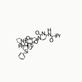 CC[C@H]1O[C@@H](n2ccc(NC(=O)C(C)C)nc2=O)C[C@H]1O[P@]1O[C@@H](C[Si](C)(c2ccccc2)c2ccccc2)[C@H]2CCCN21